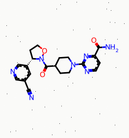 N#Cc1cncc([C@@H]2CCON2C(=O)C2CCN(c3nccc(C(N)=O)n3)CC2)c1